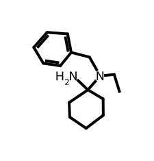 CCN(Cc1ccccc1)C1(N)CCCCC1